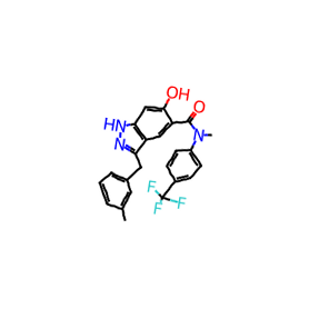 Cc1cccc(Cc2n[nH]c3cc(O)c(C(=O)N(C)c4ccc(C(F)(F)F)cc4)cc23)c1